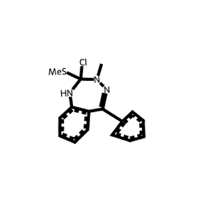 CSC1(Cl)Nc2ccccc2C(c2ccccc2)=NN1C